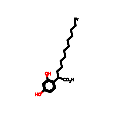 CC(C)CCCCCCCCCCC(C(=O)O)c1ccc(O)cc1O